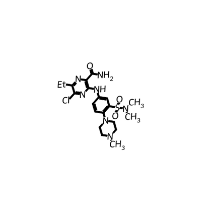 CCc1nc(C(N)=O)c(Nc2ccc(N3CCN(C)CC3)c(S(=O)(=O)N(C)C)c2)nc1Cl